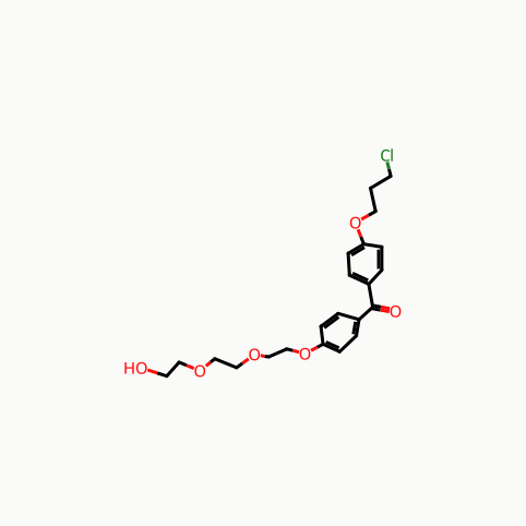 O=C(c1ccc(OCCCCl)cc1)c1ccc(OCCOCCOCCO)cc1